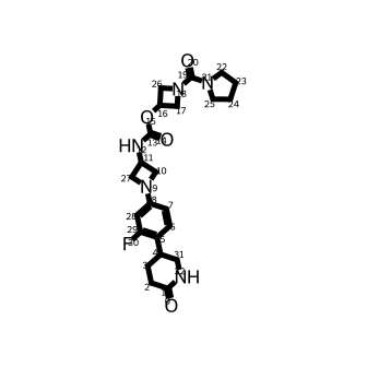 O=C1CCC(c2ccc(N3CC(NC(=O)OC4CN(C(=O)N5CCCC5)C4)C3)cc2F)CN1